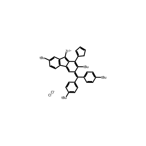 CC(C)(C)c1ccc(C(c2ccc(C(C)(C)C)cc2)=c2cc3c(c(C4=CC=CC4)c2C(C)(C)C)=[C]([Zr+2])c2cc(C(C)(C)C)ccc2-3)cc1.[Cl-].[Cl-]